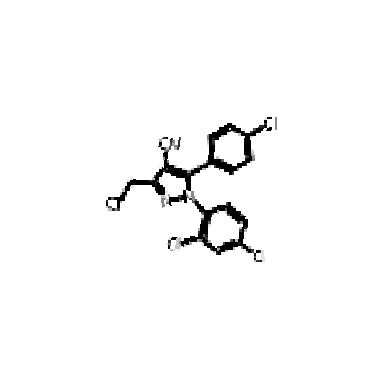 N#Cc1c(CCl)nn(-c2ccc(Cl)cc2Cl)c1-c1ccc(Cl)cc1